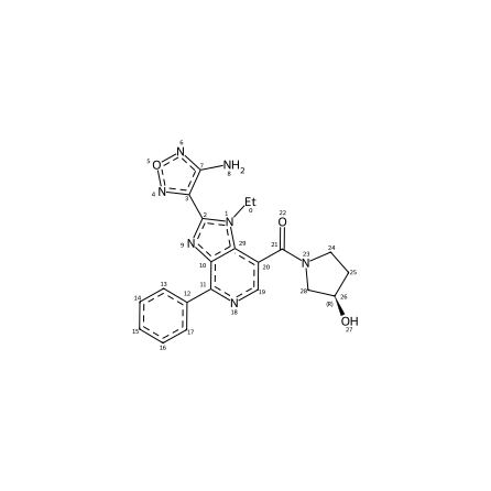 CCn1c(-c2nonc2N)nc2c(-c3ccccc3)ncc(C(=O)N3CC[C@@H](O)C3)c21